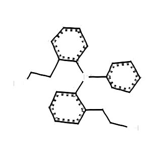 CCCc1ccccc1P(c1ccccc1)c1ccccc1CCC